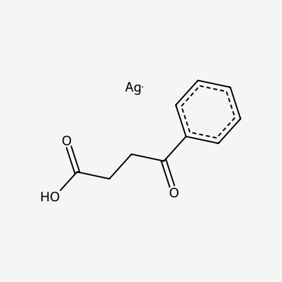 O=C(O)CCC(=O)c1ccccc1.[Ag]